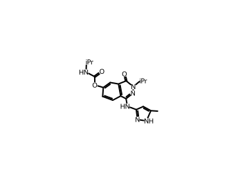 Cc1cc(Nc2nn(C(C)C)c(=O)c3cc(OC(=O)NC(C)C)ccc23)n[nH]1